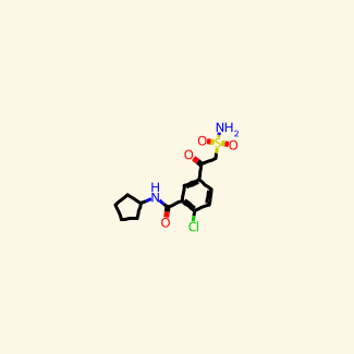 NS(=O)(=O)CC(=O)c1ccc(Cl)c(C(=O)NC2CCCC2)c1